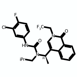 CC(C)CN(C(=O)Nc1ccc(F)c(Cl)c1)[C@H](C)c1cn(CC(F)(F)F)c(=O)c2ccccc12